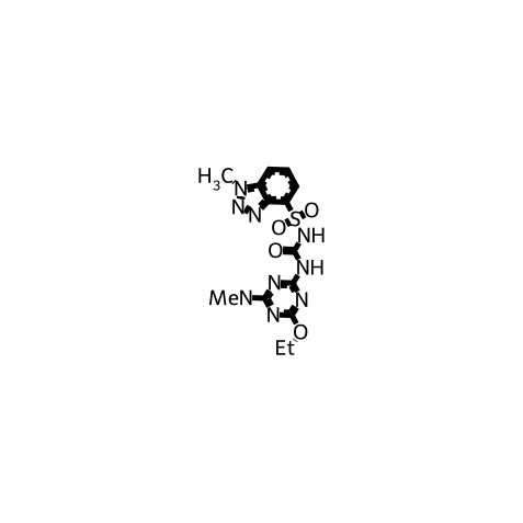 CCOc1nc(NC)nc(NC(=O)NS(=O)(=O)c2cccc3c2nnn3C)n1